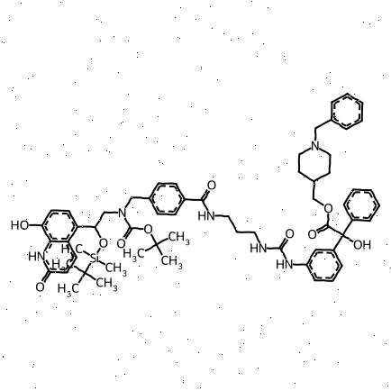 CC(C)(C)OC(=O)N(Cc1ccc(C(=O)NCCCNC(=O)Nc2cccc(C(O)(C(=O)OCC3CCN(Cc4ccccc4)CC3)c3ccccc3)c2)cc1)CC(O[Si](C)(C)C(C)(C)C)c1ccc(O)c2[nH]c(=O)ccc12